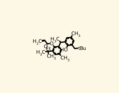 C=CC(=O)Oc1c(C(C)c2cc(C)cc(CC(C)(C)C)c2O)cc(C)cc1C(C)(C)CC